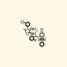 CC(C)[C@H](c1cccc(Cl)c1)[C@H](N)C(=O)Nc1cccc(F)c1CC[C@H]1CNC[C@H](C)N1S(=O)(=O)c1ccccc1